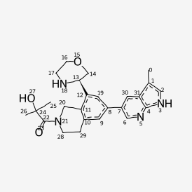 Cc1c[nH]c2ncc(-c3cc4c(c([C@@H]5COCCN5)c3)CN(C(=O)C(C)(C)O)CC4)cc12